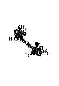 CCC[C@@H](C(=O)N[C@@H](c1ccccc1)c1cn(CCOCCOCCOCCn2cc([C@@H](NC(=O)[C@H](CC)N3C(=O)[C@@H](NC(=O)C(C)NC)CCCC[C@H]3C)c3ccccc3)nn2)nn1)N1CCCCC[C@H](NC(=O)[C@H](C)NC)C1=O